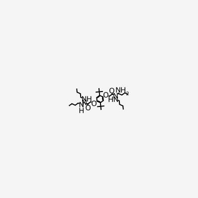 CCCCNN(NCCCC)C(=O)COc1cc(C(C)(C)C)c(OCC(=O)N(NCCCC)C(N)CCC)cc1C(C)(C)C